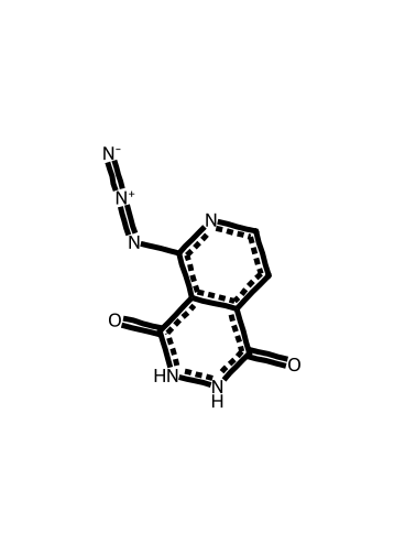 [N-]=[N+]=Nc1nccc2c(=O)[nH][nH]c(=O)c12